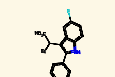 CCC(C(=O)O)c1c(-c2ccccc2)[nH]c2ccc(F)cc12